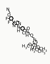 COC(=O)C1CN(CCOCCNC(=O)c2ccc(Nc3nccn4c(-c5ccc(OCC#N)c(F)c5F)cnc34)cc2Cl)CCN1C(=O)OC(C)(C)C